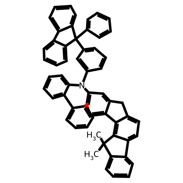 CC1(C)c2ccccc2-c2ccc3c(c21)-c1ccc(N(c2cccc(C4(c5ccccc5)c5ccccc5-c5ccccc54)c2)c2ccccc2-c2ccccc2)cc1C3